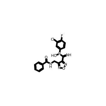 N=C(c1nonc1CNC(=O)c1ccccc1)N(O)c1ccc(F)c(Cl)c1